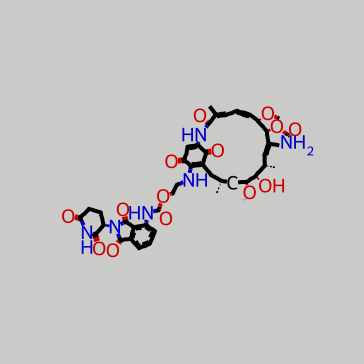 CO[C@H]1/C=C\C=C(/C)C(=O)NC2=CC(=O)C(NCCOC(=O)Nc3cccc4c3C(=O)N([C@@H]3CCC(=O)NC3=O)C4=O)=C(C[C@@H](C)C[C@H](OC)[C@@H](O)[C@@H](C)/C=C(\C)[C@@H]1OC(N)=O)C2=O